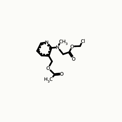 CC(=O)OCc1cccnc1N(C)CC(=O)OCCl